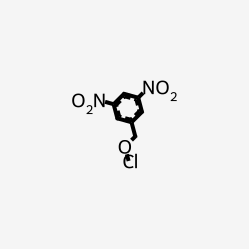 O=[N+]([O-])c1cc(COCl)cc([N+](=O)[O-])c1